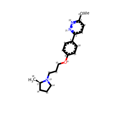 COc1ccc(-c2ccc(OCCCN3CCC[C@H]3C)cc2)nn1